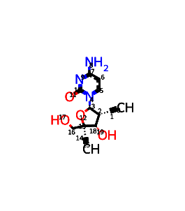 C#C[C@H]1[C@H](n2ccc(N)nc2=O)O[C@](C#C)(CO)[C@H]1O